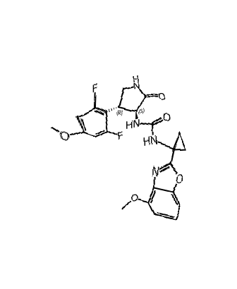 COc1cc(F)c([C@@H]2CNC(=O)[C@H]2NC(=O)NC2(c3nc4c(OC)cccc4o3)CC2)c(F)c1